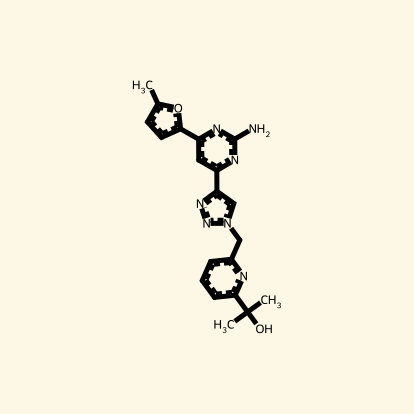 Cc1ccc(-c2cc(-c3cn(Cc4cccc(C(C)(C)O)n4)nn3)nc(N)n2)o1